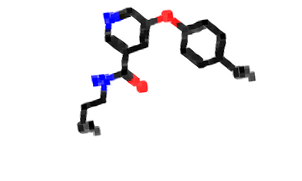 CCCNC(=O)c1cncc(Oc2ccc(C)cc2)c1